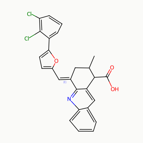 CC1C/C(=C\c2ccc(-c3cccc(Cl)c3Cl)o2)c2nc3ccccc3cc2C1C(=O)O